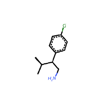 CC(C)C(CN)c1ccc(Cl)cc1